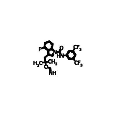 CC(C)(Cc1cn(C(=O)Nc2cc(C(F)(F)F)cc(C(F)(F)F)c2)c2cccc(F)c12)OC=N